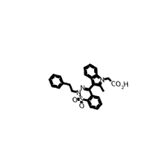 Cc1c(C2=NN(CCc3ccccc3)S(=O)(=O)c3ccccc32)c2ccccc2n1CC(=O)O